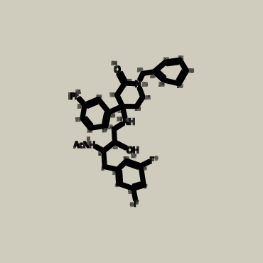 CC(=O)NC(Cc1cc(F)cc(F)c1)C(O)CNC1(c2cccc(C(C)C)c2)CCN(Cc2ccccc2)C(=O)C1